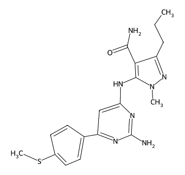 CCCc1nn(C)c(Nc2cc(-c3ccc(SC)cc3)nc(N)n2)c1C(N)=O